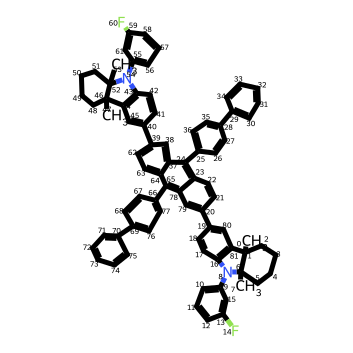 CC12CCCCC1(C)N(c1cccc(F)c1)c1ccc(-c3ccc4c(-c5ccc(-c6ccccc6)cc5)c5cc(-c6ccc7c(c6)C6(C)CCCCC6(C)N7c6cccc(F)c6)ccc5c(-c5ccc(-c6ccccc6)cc5)c4c3)cc12